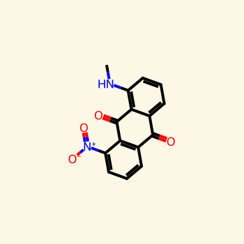 CNc1cccc2c1C(=O)c1c(cccc1[N+](=O)[O-])C2=O